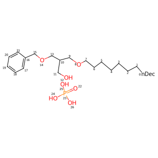 CCCCCCCCCCCCCCCCCOCC(CO)COCc1ccccc1.O=P(O)(O)O